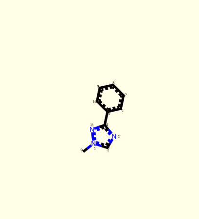 Cn1[c]nc(-c2ccccc2)n1